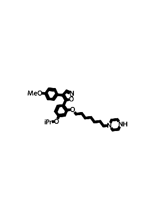 COc1ccc(-c2cnoc2-c2ccc(OC(C)C)cc2OCCCCCCCN2CCNCC2)cc1